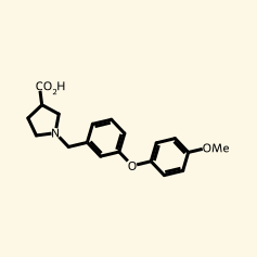 COc1ccc(Oc2cccc(CN3CCC(C(=O)O)C3)c2)cc1